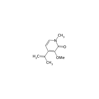 C=C(C)c1ccn(C)c(=O)c1OC